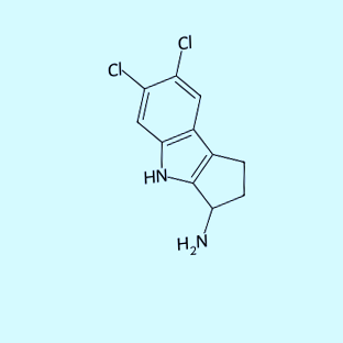 NC1CCc2c1[nH]c1cc(Cl)c(Cl)cc21